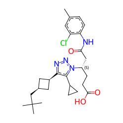 Cc1ccc(NC(=O)C[C@H](CCC(=O)O)n2nnc([C@H]3C[C@@H](CC(C)(C)C)C3)c2C2CC2)c(Cl)c1